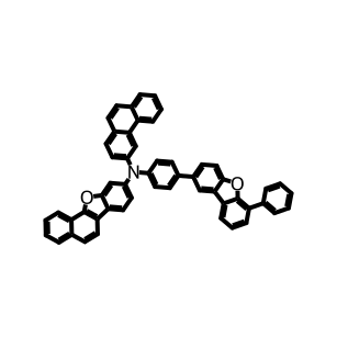 c1ccc(-c2cccc3c2oc2ccc(-c4ccc(N(c5ccc6c(c5)oc5c7ccccc7ccc65)c5ccc6ccc7ccccc7c6c5)cc4)cc23)cc1